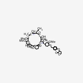 C=CC[C@@H]1/C=C(\C)C[C@H](C)C[C@H](OC)C2O[C@@](O)(C(=O)C(=O)N3CCCC[C@H]3C(=O)O[C@H](/C(C)=C/[C@@H]3CCC(SCc4ccc(O[C@H]5CCOC5=O)cc4)[C@H](OC)C3)[C@H](C)[C@@H](O)CC1=O)[C@H](C)C[C@@H]2OC